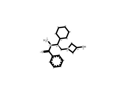 CN(C(=O)c1ccccc1)[C@H](CN1CC(O)C1)C1CCCCC1